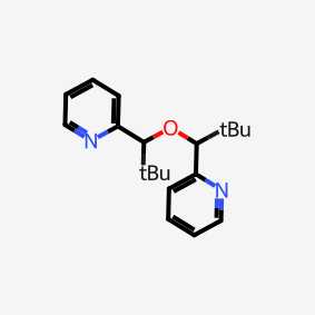 CC(C)(C)C(OC(c1ccccn1)C(C)(C)C)c1ccccn1